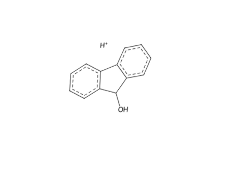 OC1c2ccccc2-c2ccccc21.[H+]